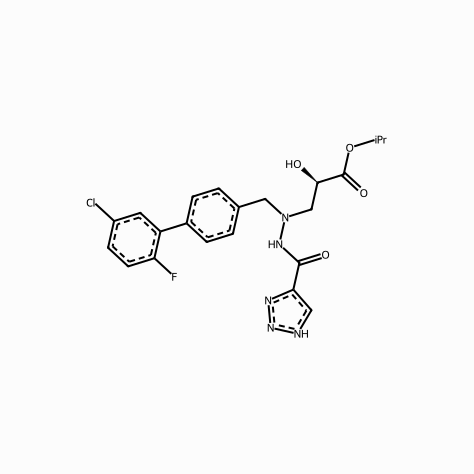 CC(C)OC(=O)[C@H](O)CN(Cc1ccc(-c2cc(Cl)ccc2F)cc1)NC(=O)c1c[nH]nn1